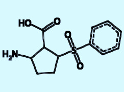 NC1CCC(S(=O)(=O)c2ccccc2)C1C(=O)O